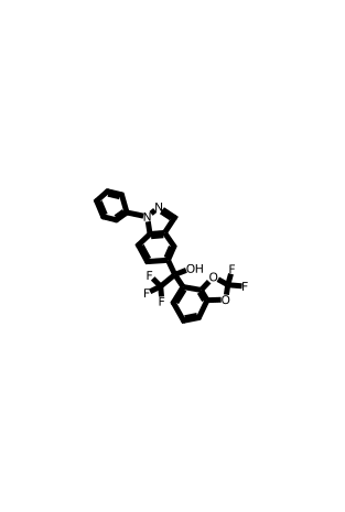 OC(c1ccc2c(cnn2-c2ccccc2)c1)(c1cccc2c1OC(F)(F)O2)C(F)(F)F